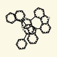 c1ccc(-c2nc(-c3ccccc3)nc(-c3cccc4oc5cccc(-c6nc(-c7ccccc7)nc7c6sc6ccccc67)c5c34)n2)cc1